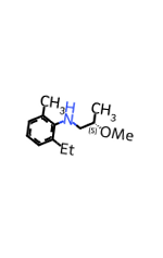 CCc1cccc(C)c1NC[C@H](C)OC